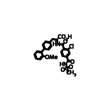 COc1ccccc1-c1ccc(C[C@H](NC(=O)c2ccc(C(=O)NS(C)(=O)=O)cc2Cl)C(=O)O)cc1